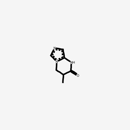 CC1Cn2cncc2NC1=O